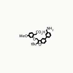 COc1ccc(CC(=O)O)c(OCc2c(C(C)(C)C)oc3ccc(-c4cccc(CN)c4)cc23)c1